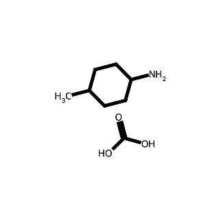 CC1CCC(N)CC1.O=C(O)O